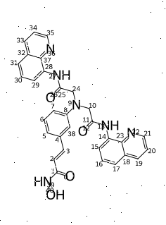 O=C(C=Cc1cccc(N(CC(=O)Nc2cccc3cccnc23)CC(=O)Nc2cccc3cccnc23)c1)NO